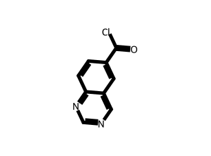 O=C(Cl)c1ccc2ncncc2c1